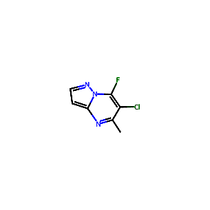 Cc1nc2ccnn2c(F)c1Cl